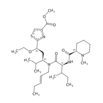 CCC=CCN(C(=O)[C@@H](NC(=O)[C@H]1CCCCN1C)C(C)CC)[C@H](C[C@@H](OCC)c1nc(C(=O)OC)cs1)C(C)C